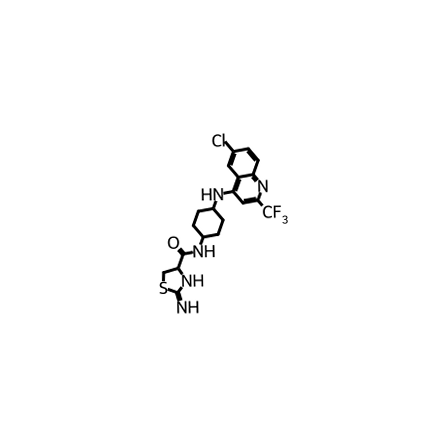 N=C1NC(C(=O)NC2CCC(Nc3cc(C(F)(F)F)nc4ccc(Cl)cc34)CC2)CS1